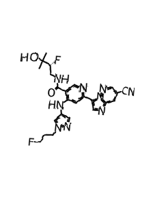 CC(C)(O)[C@H](F)CNC(=O)c1cnc(-c2cnc3cc(C#N)cnn23)cc1Nc1cnn(CCCF)c1